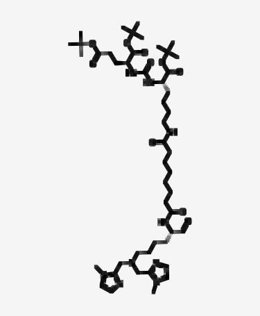 Cn1ccnc1CN(CCCC[C@@H](C=O)NC(=O)CCCCCCC(=O)NCCCC[C@H](NC(=O)N[C@@H](CCC(=O)OC(C)(C)C)C(=O)OC(C)(C)C)C(=O)OC(C)(C)C)Cc1nccn1C